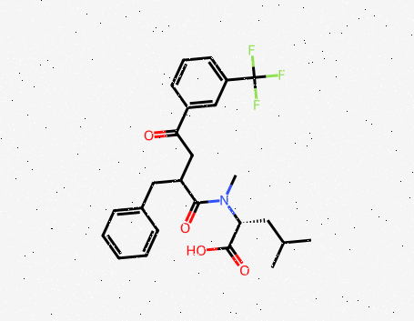 CC(C)C[C@H](C(=O)O)N(C)C(=O)C(CC(=O)c1cccc(C(F)(F)F)c1)Cc1ccccc1